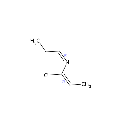 C/C=C(Cl)\N=C/CC